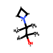 CC(C)C(C)(O)C(C)(C)N1CCC1